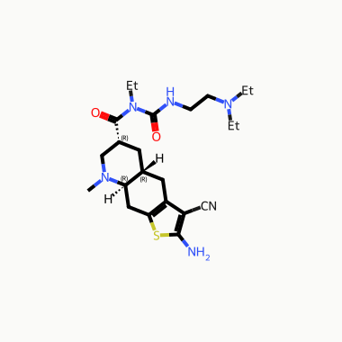 CCN(CC)CCNC(=O)N(CC)C(=O)[C@@H]1C[C@@H]2Cc3c(sc(N)c3C#N)C[C@H]2N(C)C1